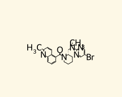 Cc1ccc2c(C(=O)N3CCCC[C@H]3CN(C)c3ncc(Br)cn3)cccc2n1